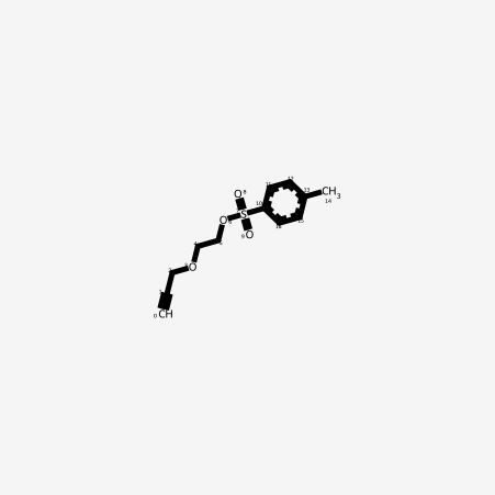 C#CCOCCOS(=O)(=O)c1ccc(C)cc1